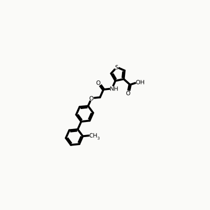 Cc1ccccc1-c1ccc(OCC(=O)Nc2cscc2C(=O)O)cc1